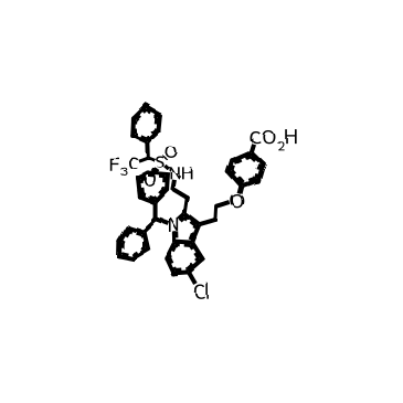 O=C(O)c1ccc(OCCc2c(CCNS(=O)(=O)C(c3ccccc3)C(F)(F)F)n(C(c3ccccc3)c3ccccc3)c3ccc(Cl)cc23)cc1